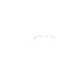 CCCCCCCCc1sc(-c2ccc(-c3ccc(/C=C/c4ccc(-c5ccc(-c6cc(C)c(CCCCCCCC)s6)s5)cc4)cc3)s2)cc1C